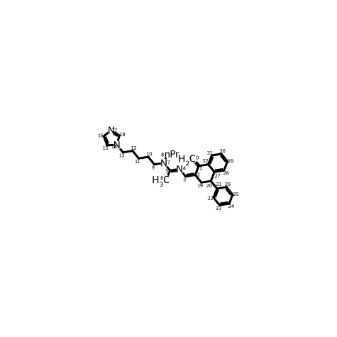 C=C1/C(=C\N=C(/C)N(CCC)CCCCCn2ccnc2)CC(c2ccccc2)c2ccccc21